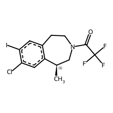 C[C@@H]1CN(C(=O)C(F)(F)F)CCc2cc(I)c(Cl)cc21